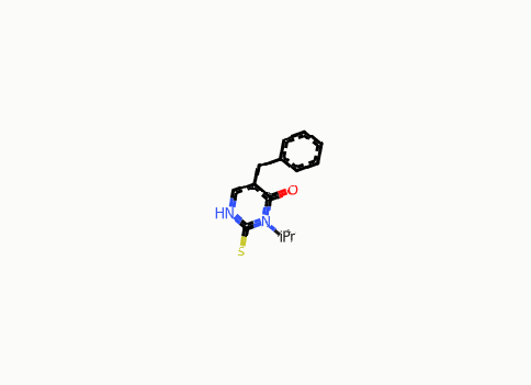 CC(C)n1c(=S)[nH]cc(Cc2ccccc2)c1=O